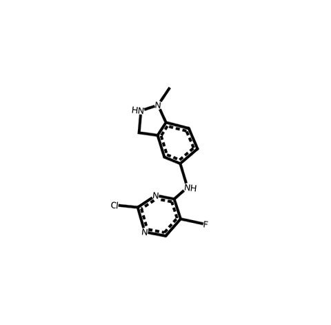 CN1NCc2cc(Nc3nc(Cl)ncc3F)ccc21